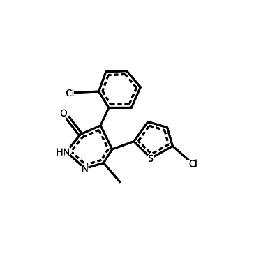 Cc1n[nH]c(=O)c(-c2ccccc2Cl)c1-c1ccc(Cl)s1